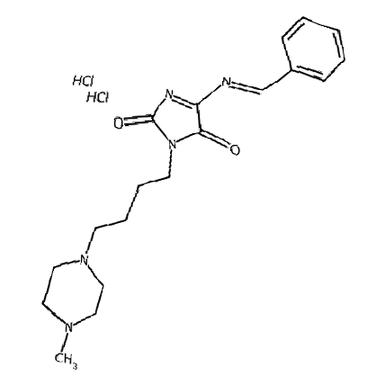 CN1CCN(CCCCN2C(=O)N=C(N=Cc3ccccc3)C2=O)CC1.Cl.Cl